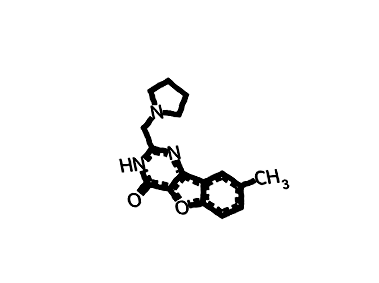 Cc1ccc2oc3c(=O)[nH]c(CN4CCCC4)nc3c2c1